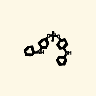 C[Si](C)(Oc1ccc(Nc2ccccc2)cc1)Oc1ccc(Nc2ccccc2)cc1